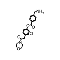 Cl.NCc1ccc(C(=O)Oc2ccc(CC(=O)N3CCOCC3)cc2)cc1